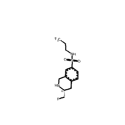 O=S(=O)(NCCC(F)(F)F)c1ccc2c(c1)CN[C@@H](CF)C2